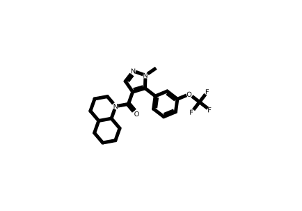 Cn1ncc(C(=O)N2CCCC3CCCCC32)c1-c1cccc(OC(F)(F)F)c1